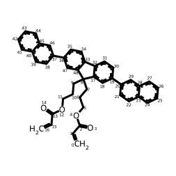 C=CC(=O)OCCCC1(CCCOC(=O)C=C)c2cc(-c3ccc4ccccc4c3)ccc2-c2ccc(-c3ccc4ccccc4c3)cc21